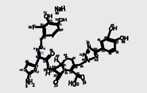 Nc1nc(/C(=N/OCc2ccc(O)c(O)c2F)C(=O)N[C@@H]2C(=O)N3C(C(=O)O)=C(Cn4nnc(-c5ccc(O)c(O)c5)n4)CS[C@H]23)cs1.[NaH]